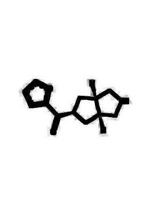 O=C(c1ccco1)[C@H]1C[C@H]2CNC[C@H]2C1